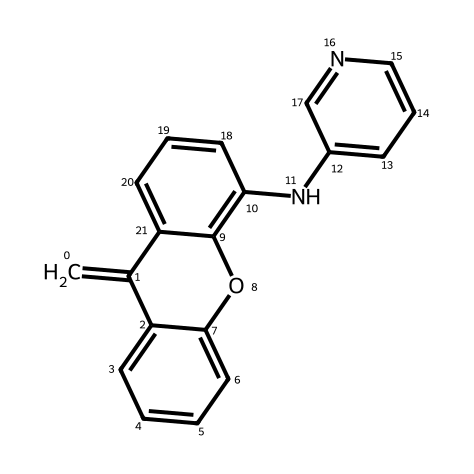 C=C1c2ccccc2Oc2c(Nc3cccnc3)cccc21